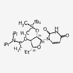 CC[C@H]1O[C@@H](n2ccc(=O)[nH]c2=O)[C@@H](O[Si](C)(C)C(C)(C)C)C1OP(C)N(C(C)C)C(C)C